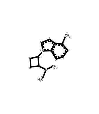 Cc1cccc2c1ccn2C1CCC1N(C)C